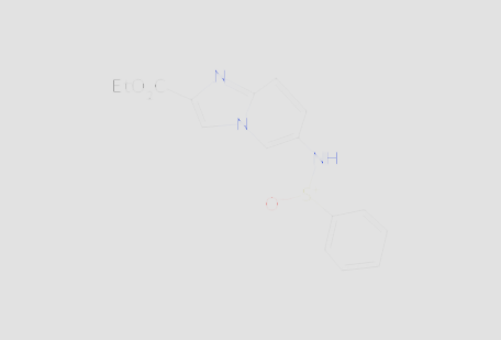 CCOC(=O)c1cn2cc(N[S+]([O-])c3ccccc3)ccc2n1